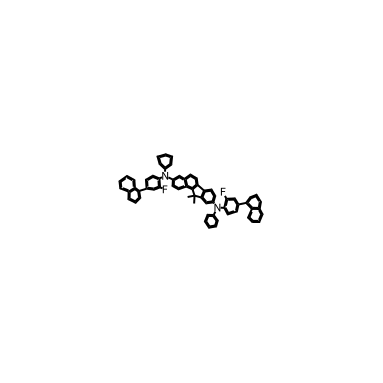 CC1(C)c2cc(N(c3ccccc3)c3ccc(-c4cccc5ccccc45)cc3F)ccc2-c2ccc3cc(N(c4ccccc4)c4ccc(-c5cccc6ccccc56)cc4F)ccc3c21